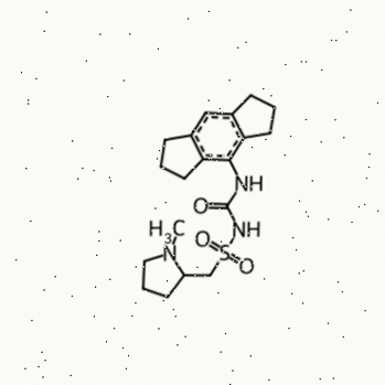 CN1CCCC1CS(=O)(=O)NC(=O)Nc1c2c(cc3c1CCC3)CCC2